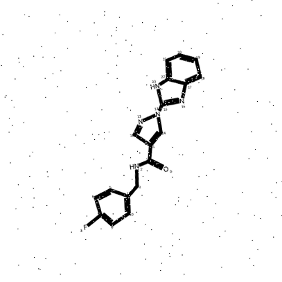 O=C(NCc1ccc(F)cc1)c1cnn(-c2nc3ccccc3[nH]2)c1